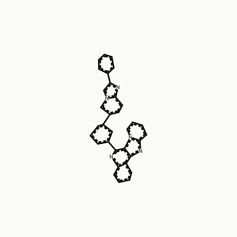 c1ccc(-c2cn3cc(-c4cccc(-c5nc6ccccc6c6nc7ccccn7c56)c4)ccc3n2)cc1